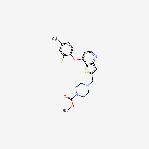 CC(C)(C)OC(=O)N1CCN(Cc2cc3nccc(Oc4ccc([N+](=O)[O-])cc4F)c3s2)CC1